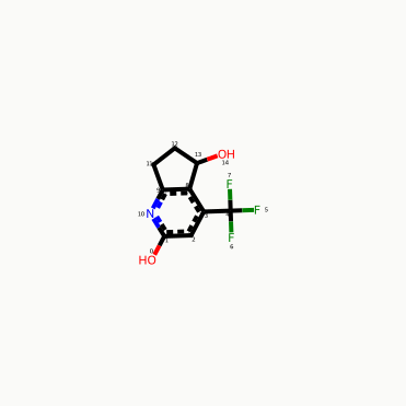 Oc1cc(C(F)(F)F)c2c(n1)CCC2O